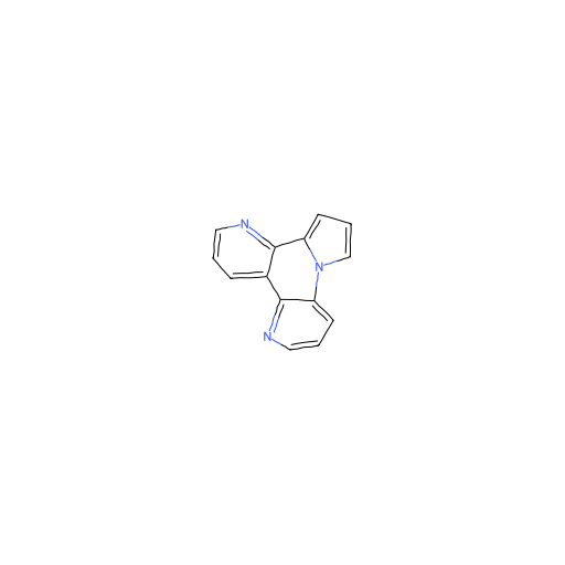 c1cnc2c(c1)c1ncccc1n1cccc21